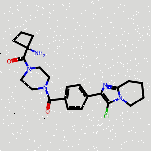 NC1(C(=O)N2CCN(C(=O)c3ccc(-c4nc5n(c4Cl)CCCC5)cc3)CC2)CCC1